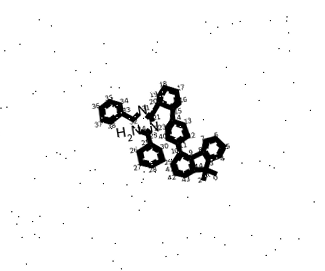 CC1(C)c2ccccc2-c2c(-c3ccc(-c4ccccc4C(/N=C(\N)c4ccccc4)=N/Cc4ccccc4)cc3)cccc21